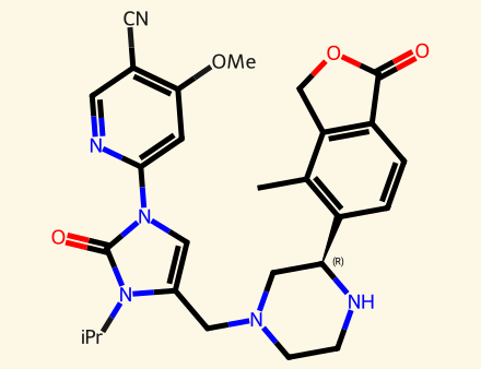 COc1cc(-n2cc(CN3CCN[C@H](c4ccc5c(c4C)COC5=O)C3)n(C(C)C)c2=O)ncc1C#N